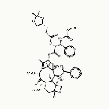 CO[C@H]1C(=O)[C@]2(C)[C@@H](OC)C[C@H]3OC[C@@]3(OC(C)=O)[C@H]2[C@H](OC(=O)c2ccccc2)C2(O)C[C@H](OC(=O)[C@H](OC(=O)OC[C@@H]3COC(C)(C)O3)[C@@H](NC(=O)OC(C)(C)C)c3ccccc3)C(C)=C1C2(C)C